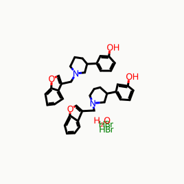 Br.Br.O.Oc1cccc(C2CCCN(Cc3coc4ccccc34)C2)c1.Oc1cccc(C2CCCN(Cc3coc4ccccc34)C2)c1